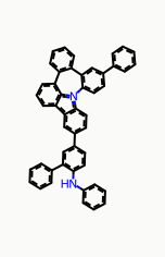 c1ccc(Nc2ccc(-c3ccc4c(c3)c3cccc5c3n4-c3ccc(-c4ccccc4)cc3-c3ccccc3-5)cc2-c2ccccc2)cc1